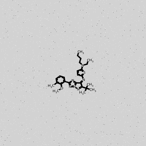 CCCCN(CC)c1ccc(/N=C2/C(C(C)(C)C)=Nn3nc(-c4cccc(C)c4OC)nc32)s1